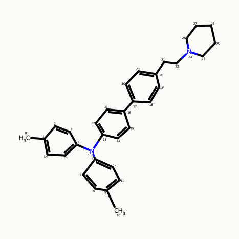 Cc1ccc(N(c2ccc(C)cc2)c2ccc(-c3ccc(CCN4CCCCC4)cc3)cc2)cc1